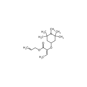 C=CCOC(=O)C(=CC)OC1CC(C)(C)N(C)C(C)(C)C1